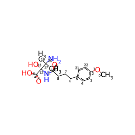 COc1ccc(CCCC(=O)N[C@@](O)(C(=O)O)C(C)(C)N)cc1